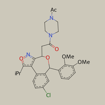 COc1cccc(C2OC(CC(=O)N3CCN(C(C)=O)CC3)c3noc(C(C)C)c3-c3ccc(Cl)cc32)c1OC